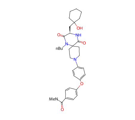 CCCCN1C(=O)[C@@H](CC2(O)CCCCC2)NC(=O)C12CCN(c1ccc(Oc3ccc(C(=O)NC)cc3)cc1)CC2